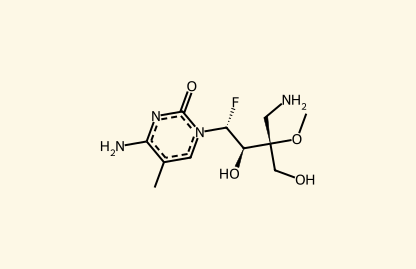 CO[C@](CN)(CO)[C@@H](O)[C@@H](F)n1cc(C)c(N)nc1=O